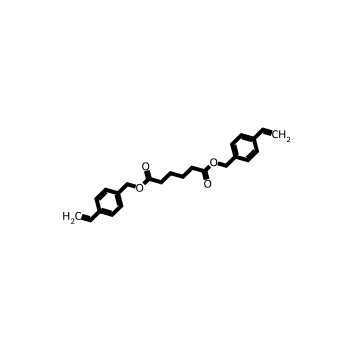 C=Cc1ccc(COC(=O)CCCCC(=O)OCc2ccc(C=C)cc2)cc1